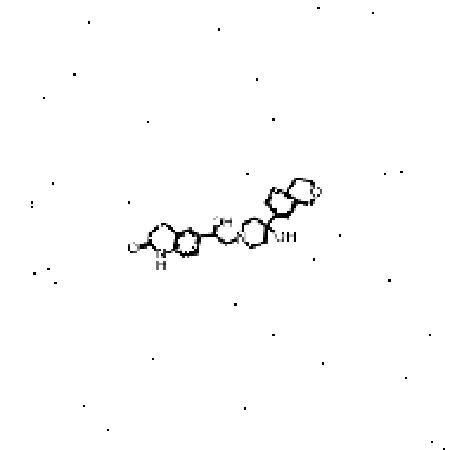 O=C1CCc2cc(C(O)CN3CCC(O)(c4ccc5c(c4)COCC5)CC3)ccc2N1